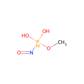 CO[PH](O)(O)N=O